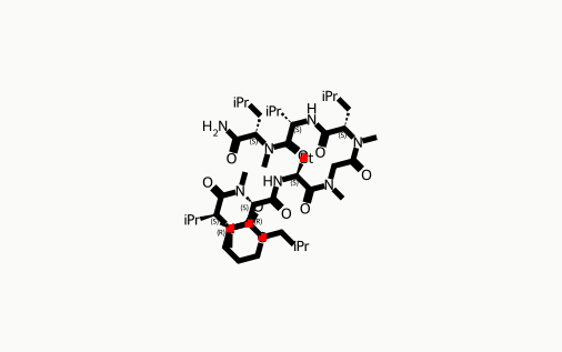 CC[C@H](NC(=O)[C@H]([C@@H]1OCCC[C@H]1C)N(C)C(=O)[C@H](C(C)C)N(C)C(=O)CCC(C)C)C(=O)N(C)CC(=O)N(C)[C@@H](CC(C)C)C(=O)N[C@H](C(=O)N(C)[C@@H](CC(C)C)C(N)=O)C(C)C